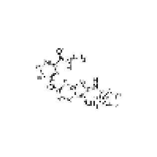 CNC(=O)c1cc(Oc2ccc3c(c2)nc(NC2CC4CCC2C4)n3C)ccn1